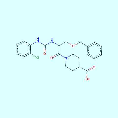 O=C(Nc1ccccc1Cl)NC(COCc1ccccc1)C(=O)N1CCC(C(=O)O)CC1